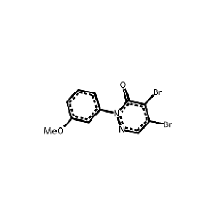 COc1cccc(-n2ncc(Br)c(Br)c2=O)c1